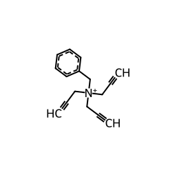 C#CC[N+](CC#C)(CC#C)Cc1ccccc1